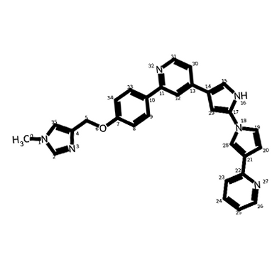 Cn1cnc(COc2ccc(-c3cc(-c4c[nH]c(-n5ccc(-c6ccccn6)c5)c4)ccn3)cc2)c1